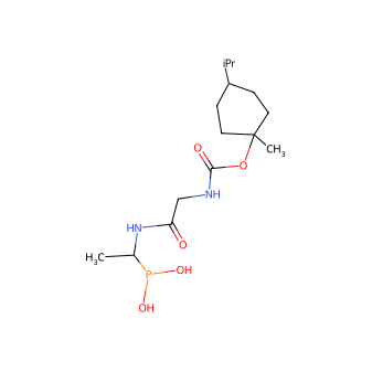 CC(C)C1CCC(C)(OC(=O)NCC(=O)NC(C)P(O)O)CC1